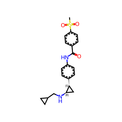 CS(=O)(=O)c1ccc(C(=O)Nc2ccc([C@@H]3C[C@H]3NCC3CC3)cc2)cc1